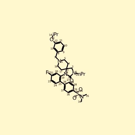 CCCN1CC2(CCN(Cc3cccc(OC(C)C)c3)CC2)N(c2cc(F)ccc2-c2ccc(S(=O)(=O)N(C)C)cc2)C1=O